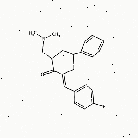 CN(C)CC1CC(c2ccccc2)C/C(=C\c2ccc(F)cc2)C1=O